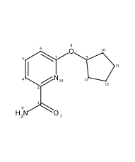 NC(=O)c1[c]ccc(OC2CCCC2)n1